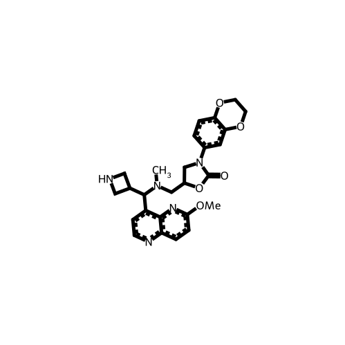 COc1ccc2nccc(C(C3CNC3)N(C)CC3CN(c4ccc5c(c4)OCCO5)C(=O)O3)c2n1